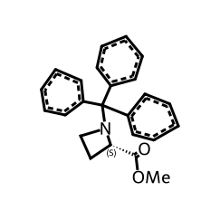 COC(=O)[C@@H]1CCN1C(c1ccccc1)(c1ccccc1)c1ccccc1